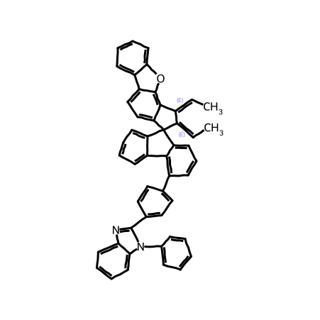 C/C=C1\C(=C/C)C2(c3ccccc3-c3c(-c4ccc(-c5nc6ccccc6n5-c5ccccc5)cc4)cccc32)c2ccc3c(oc4ccccc43)c21